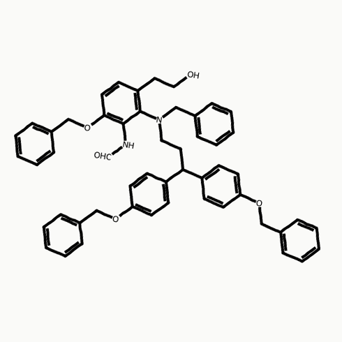 O=CNc1c(OCc2ccccc2)ccc(CCO)c1N(CCC(c1ccc(OCc2ccccc2)cc1)c1ccc(OCc2ccccc2)cc1)Cc1ccccc1